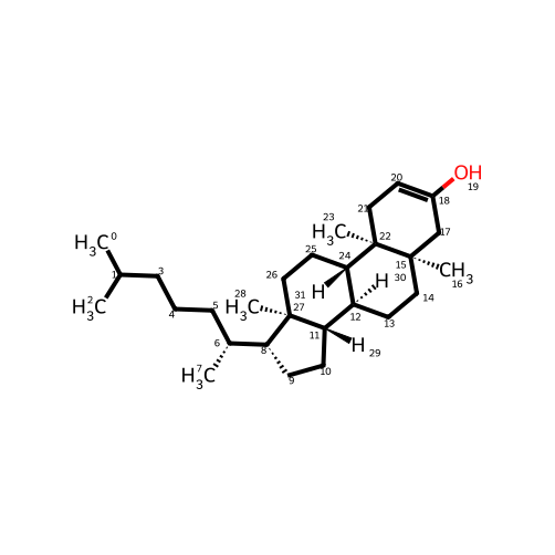 CC(C)CCC[C@@H](C)[C@H]1CC[C@H]2[C@@H]3CC[C@]4(C)CC(O)=CC[C@]4(C)[C@H]3CC[C@]12C